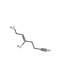 C#CCC/C(C)=C/C[CH2]